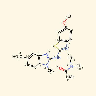 CCOc1ccc2nc(Nc3nc4cc(C(=O)O)ccc4n3C)sc2c1.CNC(=O)N(C)C